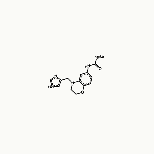 CNC(=O)Nc1ccc2c(c1)N(Cc1c[nH]cn1)CCO2